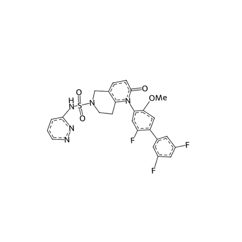 COc1cc(-c2cc(F)cc(F)c2)c(F)cc1-n1c2c(ccc1=O)CN(S(=O)(=O)Nc1cccnn1)CC2